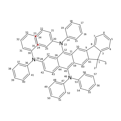 CC1(C)c2ccccc2-c2cc3c(N(c4ccccc4)c4ccccc4)c4cc(N(c5ccccc5)c5ccccc5)ccc4c(N(c4ccccc4)c4ccccc4)c3cc21